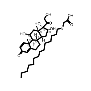 CCCCCCCCCCCCCCSCC(=O)O.C[C@]12C=CC(=O)C=C1CC[C@H]1[C@@H]3C[C@@H](O)[C@](O)(C(=O)CO)[C@@]3(C)C[C@H](O)[C@@]12F